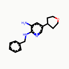 Nc1cc(C2CCOCC2)cnc1NCc1ccccc1